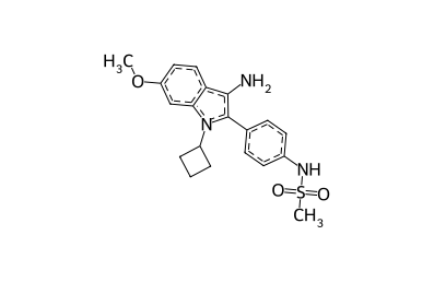 COc1ccc2c(N)c(-c3ccc(NS(C)(=O)=O)cc3)n(C3CCC3)c2c1